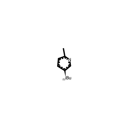 CC[C@H](C)c1ccc(C)nc1